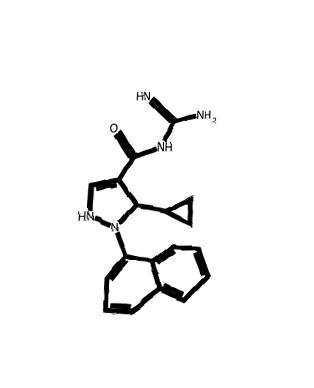 N=C(N)NC(=O)C1=CNN(c2cccc3ccccc23)C1C1CC1